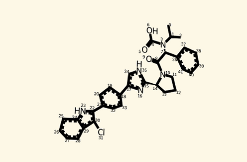 CC(C)N(C(=O)O)[C@@H](C(=O)N1CCC[C@H]1c1nc(-c2ccc(-c3[nH]c4ccccc4c3Cl)cc2)c[nH]1)c1ccccc1